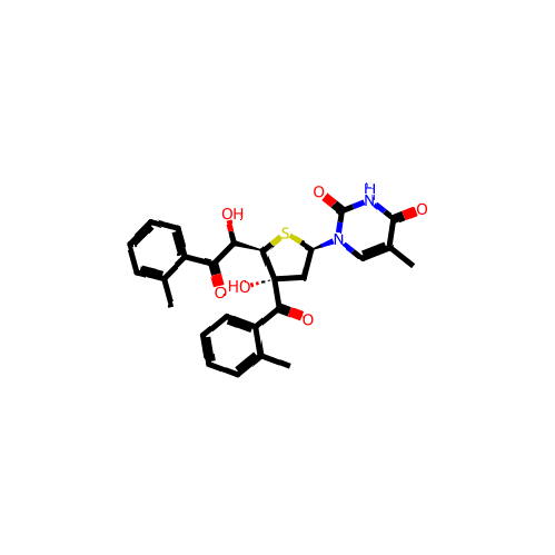 Cc1ccccc1C(=O)C(O)[C@H]1S[C@@H](n2cc(C)c(=O)[nH]c2=O)C[C@@]1(O)C(=O)c1ccccc1C